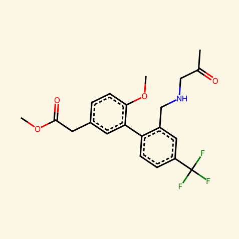 COC(=O)Cc1ccc(OC)c(-c2ccc(C(F)(F)F)cc2CNCC(C)=O)c1